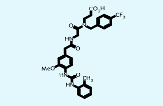 COc1cc(CC(=O)NCC(=O)N(CCC(=O)O)Cc2ccc(C(F)(F)F)cc2)ccc1NC(=O)Nc1ccccc1C